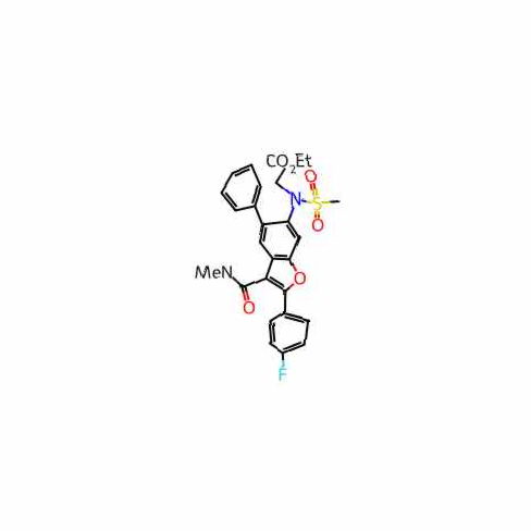 CCOC(=O)CN(c1cc2oc(-c3ccc(F)cc3)c(C(=O)NC)c2cc1-c1ccccc1)S(C)(=O)=O